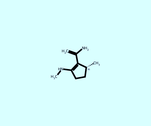 C=C(N)C1=C(NC)CC[C@H]1C